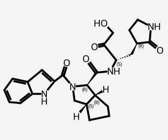 O=C1NCC[C@@H]1C[C@H](NC(=O)[C@H]1[C@@H]2CCC[C@@H]2CN1C(=O)c1cc2ccccc2[nH]1)C(=O)CO